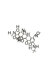 CO/N=C/c1cc(CNCC(C)(C)C)c(O)c2c1C[C@H]1C[C@H]3[C@H](N(C)C)C(O)=C(C(N)=O)C(=O)[C@@]3(O)C(O)=C1C2=O